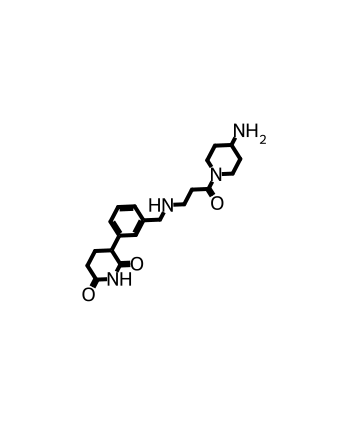 NC1CCN(C(=O)CCNCc2cccc(C3CCC(=O)NC3=O)c2)CC1